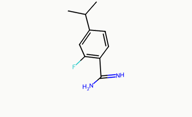 CC(C)c1ccc(C(=N)N)c(F)c1